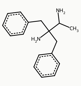 CC(N)C(N)(Cc1ccccc1)Cc1ccccc1